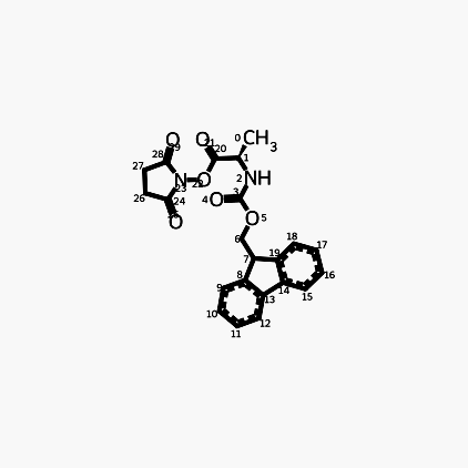 C[C@@H](NC(=O)OCC1c2ccccc2-c2ccccc21)C(=O)ON1C(=O)CCC1=O